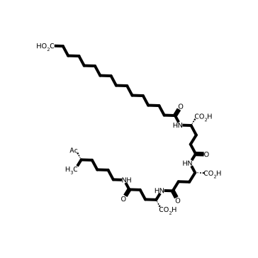 CC(=O)[C@@H](C)CCCCNC(=O)CC[C@H](NC(=O)CC[C@H](NC(=O)CC[C@H](NC(=O)CCCCCCCCCCCCCCC(=O)O)C(=O)O)C(=O)O)C(=O)O